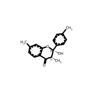 Cc1ccc([C@]2(O)Oc3cc(C)ccc3C(=O)[C@H]2C)cc1